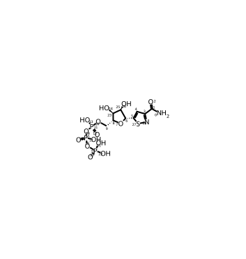 NC(=O)c1cc([C@@H]2O[C@H](COP(=O)(O)OP(=O)(O)OP(=O)(O)O)[C@@H](O)[C@H]2O)sn1